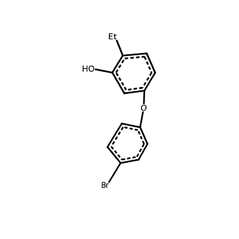 CCc1ccc(Oc2ccc(Br)cc2)cc1O